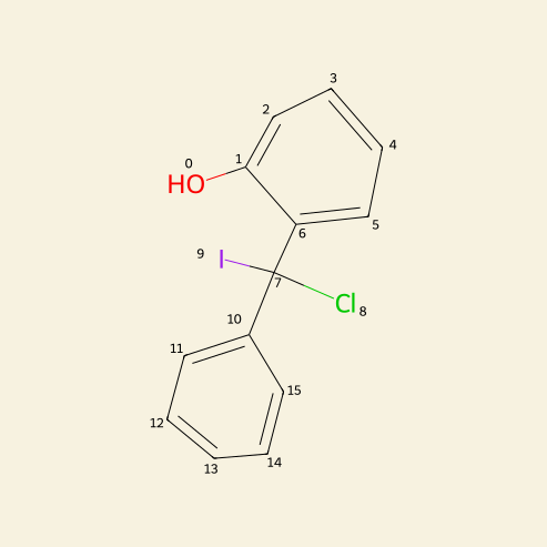 Oc1ccccc1C(Cl)(I)c1ccccc1